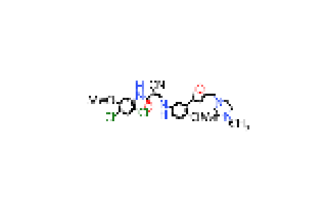 COc1cc(NC(=O)/C(C#N)=C\Nc2ccc(OC)c(-c3coc(CN4CCN(C)CC4)c3)c2)c(Cl)cc1Cl